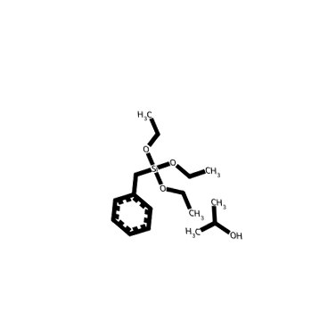 CC(C)O.CCO[Si](Cc1ccccc1)(OCC)OCC